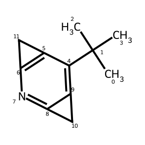 CC(C)(C)c1c2c(nc3c1C3)C2